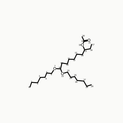 CCCCCCCOC(CCCCCCC(CC)OC(C)=O)OCCCCCCC